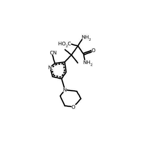 CC(C)(c1cc(N2CCOCC2)cnc1C#N)C(N)(C(N)=O)C(=O)O